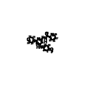 COc1ccc(Nc2cc(CNC(=O)c3ccccn3)nc(N3CCOCC3)n2)cc1